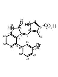 Cc1c(C(=O)O)c[nH]c1C=C1C(=O)Nc2cccc(-c3cccc(Br)c3)c21